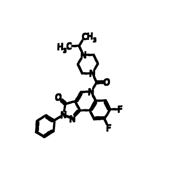 CC(C)N1CCN(C(=O)n2cc3c(=O)n(-c4ccccc4)nc-3c3cc(F)c(F)cc32)CC1